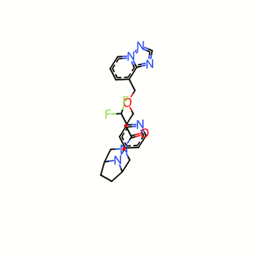 O=C(CCOCc1cccn2ncnc12)N1CC2CCC(C1)N2c1ccnc(C(F)F)c1